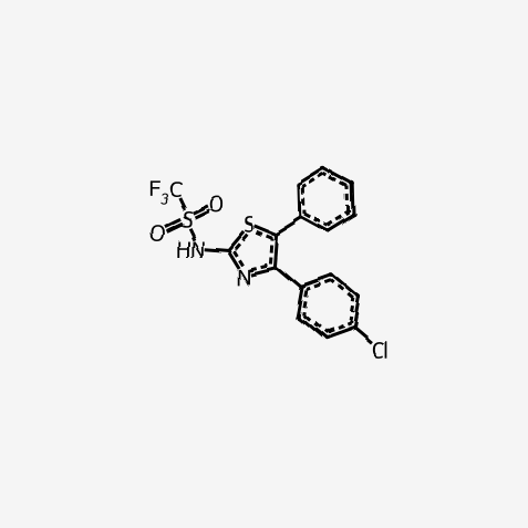 O=S(=O)(Nc1nc(-c2ccc(Cl)cc2)c(-c2ccccc2)s1)C(F)(F)F